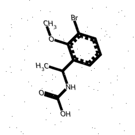 COc1c(Br)cccc1C(C)NC(=O)O